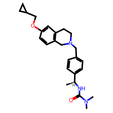 C[C@H](NC(=O)N(C)C)c1ccc(CN2CCc3cc(OCC4CC4)ccc3C2)cc1